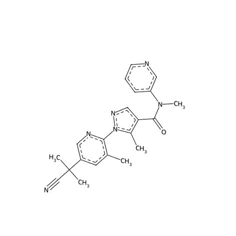 Cc1cc(C(C)(C)C#N)cnc1-n1ncc(C(=O)N(C)c2cccnc2)c1C